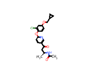 CC(=O)N[C@@H](C)CC(=O)c1ccc(Oc2ccc(OCC3CC3)cc2Cl)nc1